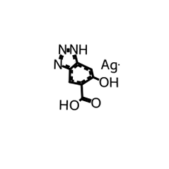 O=C(O)c1cc2nn[nH]c2cc1O.[Ag]